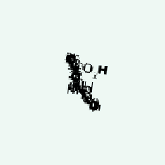 O=C(COCc1ccccc1)NNC(=O)[C@H]1CC[C@H](N(Cc2ccccc2)C(=O)O)CC1